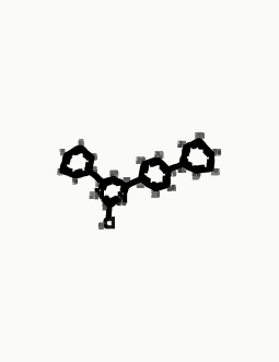 Clc1nc(-c2ccccc2)cc(-c2ccc(-c3ccccc3)cc2)n1